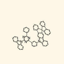 c1ccc(-c2nc(-c3cccc(-n4c5ccccc5c5cc6c(cc54)-c4ccccc4C64c5ccccc5-c5ccccc54)c3)nc(-n3c4ccccc4c4ccccc43)n2)cc1